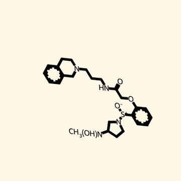 CN(O)C1CCN([S+]([O-])c2ccccc2OCC(=O)NCCCN2CCc3ccccc3C2)C1